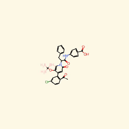 BC(B)(B)Oc1cn(C(Cc2ccccc2)C(=O)Nc2ccc(C(=O)O)cc2)c(=O)cc1-c1cc(Cl)ccc1C(C)=O